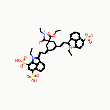 CCNC(=O)C1(C(=O)OCC)CC(/C=C/C2=[N+](CC)c3ccc(S(=O)(=O)[O-])c4cccc2c34)=CC(=C/C=c2\c3cccc4c(S(=O)(=O)O)cc(S(=O)(=O)O)c(c43)n2CC)/C1